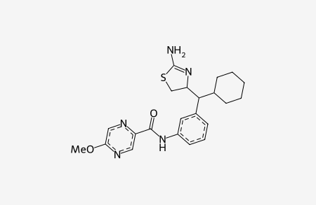 COc1cnc(C(=O)Nc2cccc(C(C3CCCCC3)C3CSC(N)=N3)c2)cn1